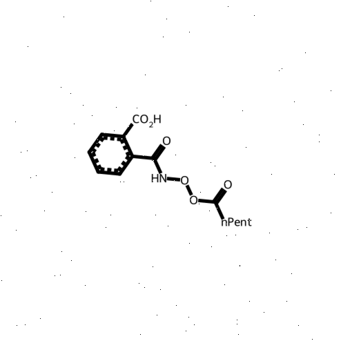 CCCCCC(=O)OONC(=O)c1ccccc1C(=O)O